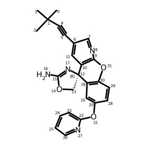 CC(C)(C)C#Cc1cnc2c(c1)[C@@]1(COC(N)=N1)c1cc(Oc3ccccn3)ccc1O2